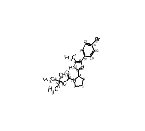 Cc1[nH]c(C2CCCN2C(=O)OC(C)(C)C)nc1-c1ccc(Br)cc1